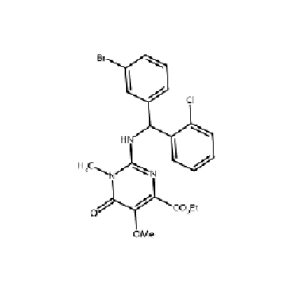 CCOC(=O)c1nc(NC(c2cccc(Br)c2)c2ccccc2Cl)n(C)c(=O)c1OC